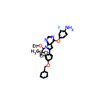 CCOC(n1c(-c2ccc(OCc3ccccc3)cc2)cc2c(Oc3ccc(N)c(F)c3)ncnc21)[Si](C)(C)C